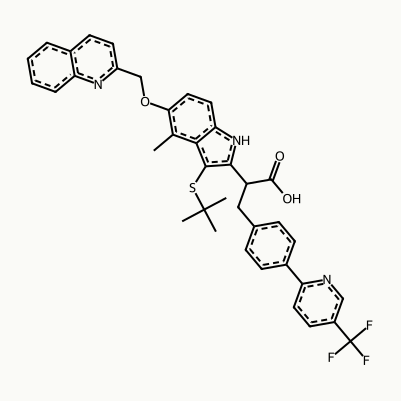 Cc1c(OCc2ccc3ccccc3n2)ccc2[nH]c(C(Cc3ccc(-c4ccc(C(F)(F)F)cn4)cc3)C(=O)O)c(SC(C)(C)C)c12